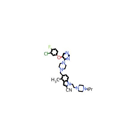 Cc1c(CN2CCN(c3ncncc3Oc3ccc(F)c(Cl)c3)CC2)ccc2c1cc(C#N)n2CCN1CCN(C(C)C)CC1